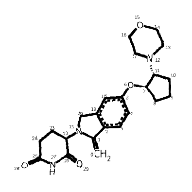 C=C1c2ccc(O[C@@H]3CCC[C@H]3N3CCOCC3)cc2CN1C1CCC(=O)NC1=O